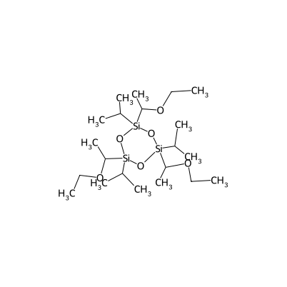 CCOC(C)[Si]1(C(C)C)O[Si](C(C)C)(C(C)OCC)O[Si](C(C)C)(C(C)OCC)O1